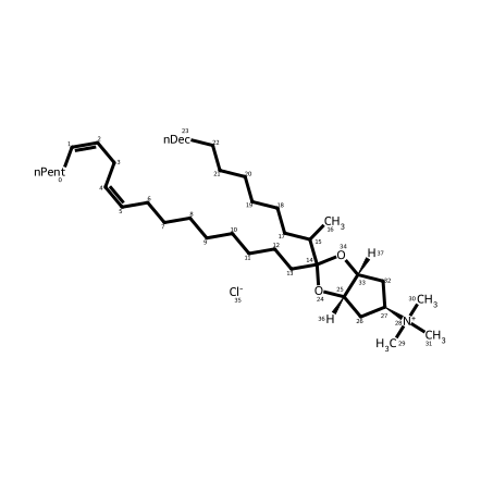 CCCCC/C=C\C/C=C\CCCCCCCCC1(C(C)CCCCCCCCCCCCCCCC)O[C@H]2C[C@H]([N+](C)(C)C)C[C@H]2O1.[Cl-]